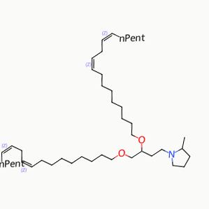 CCCCC/C=C\C/C=C\CCCCCCCCOCC(CCN1CCCC1C)OCCCCCCCC/C=C\C/C=C\CCCCC